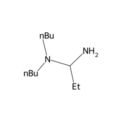 CCCCN(CCCC)C(N)CC